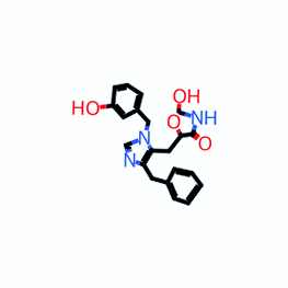 O=C1NC(O)OC1Cc1c(Cc2ccccc2)ncn1Cc1cccc(O)c1